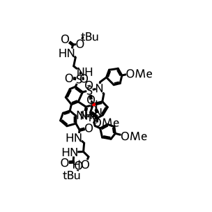 COc1ccc(CN(Cc2ccc(OC)cc2)S(=O)(=O)c2c(S(=O)(=O)NCCNC(=O)OC(C)(C)C)ccc(-c3cccc(C(=O)NCC(CO)NC(=O)OC(C)(C)C)c3N)c2-c2nnn(Cc3ccc(OC)cc3)n2)cc1